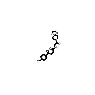 N=C(/C=C\C(=O)NCC(=O)N1CCC2(CC1)OCCO2)c1ccc(Cl)cc1